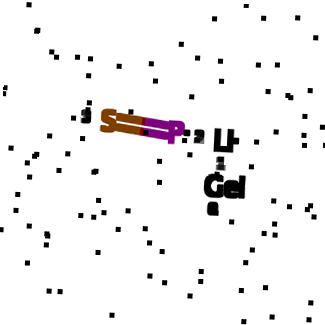 [Ge].[Li].[P]=S